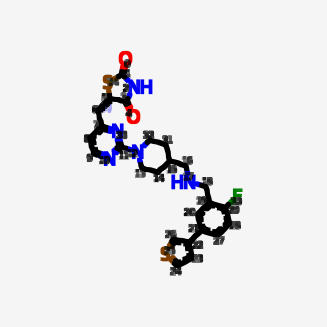 O=C1NC(=O)/C(=C\c2ccnc(N3CCC(CNCc4cc(-c5ccsc5)ccc4F)CC3)n2)S1